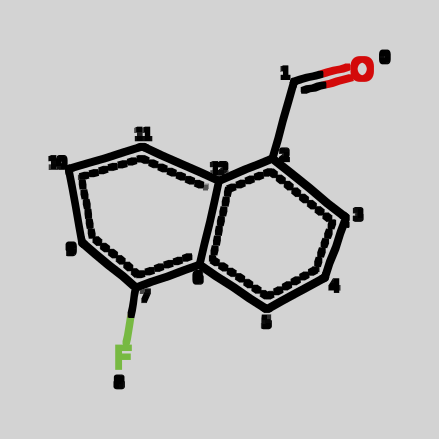 O=Cc1[c]ccc2c(F)cccc12